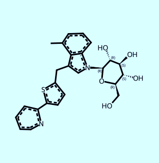 Cc1cccc2c1c(Cc1ccc(-c3ccccn3)s1)cn2[C@@H]1O[C@H](CO)[C@@H](O)[C@H](O)[C@H]1O